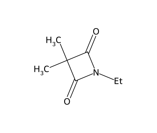 CCN1C(=O)C(C)(C)C1=O